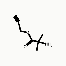 C#CCOC(=O)C(C)(C)N